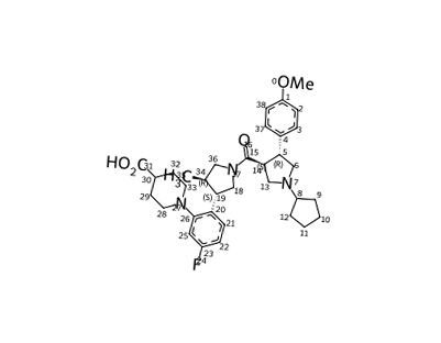 COc1ccc([C@@H]2CN(C3CCCC3)C[C@H]2C(=O)N2C[C@H](c3ccc(F)cc3N3CCC(C(=O)O)CC3)[C@@H](C)C2)cc1